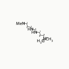 CNCCCNCNCCCN(C)C